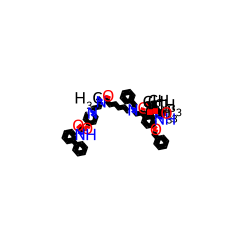 CN(CCN1CCC(OC(=O)Nc2ccccc2-c2ccccc2)CC1)C(=O)CCCCCN(Cc1ccccc1)CC(O[Si](C)(C)C(C)(C)C)c1ccc(OCc2ccccc2)c2[nH]c(=O)ccc12